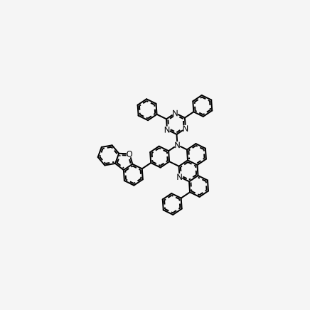 c1ccc(-c2nc(-c3ccccc3)nc(N3c4ccc(-c5cccc6c5oc5ccccc56)cc4-c4nc5c(-c6ccccc6)cccc5c5cccc3c45)n2)cc1